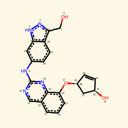 OCc1n[nH]c2cc(Nc3ncc4cccc(O[C@H]5C=C[C@@H](O)C5)c4n3)ccc12